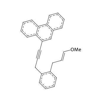 COC=CCc1ccccc1CC#Cc1cc2ccccc2c2ccccc12